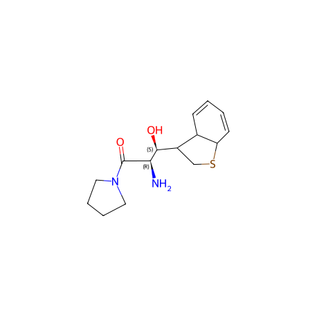 N[C@@H](C(=O)N1CCCC1)[C@@H](O)C1CSC2C=CC=CC21